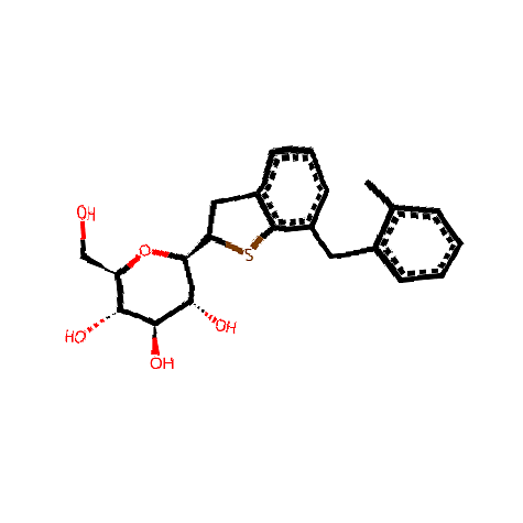 Cc1ccccc1Cc1cccc2c1SC([C@@H]1O[C@H](CO)[C@@H](O)[C@H](O)[C@H]1O)C2